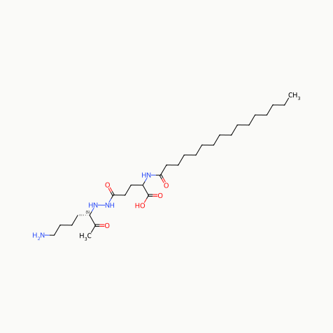 CCCCCCCCCCCCCCCC(=O)NC(CCC(=O)NN[C@@H](CCCCN)C(C)=O)C(=O)O